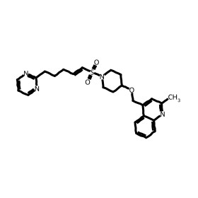 Cc1cc(COC2CCN(S(=O)(=O)/C=C/CCCc3ncccn3)CC2)c2ccccc2n1